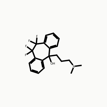 CN(C)CCCC1(O)c2ccccc2C(F)(F)C(F)(F)c2ccccc21